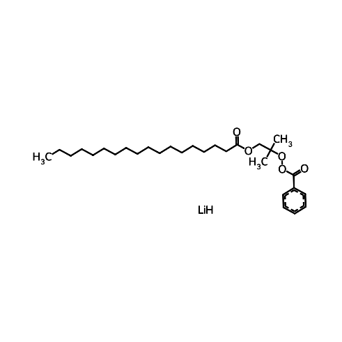 CCCCCCCCCCCCCCCCCC(=O)OCC(C)(C)OOC(=O)c1ccccc1.[LiH]